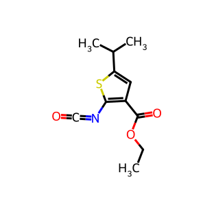 CCOC(=O)c1cc(C(C)C)sc1N=C=O